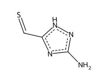 Nc1n[nH]c(C=S)n1